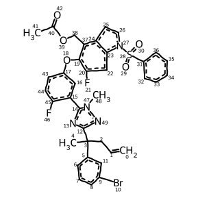 C=CCC(C)(c1cccc(Br)c1)c1nc(-c2cc(Oc3c(F)cc4c(ccn4S(=O)(=O)c4ccccc4)c3COC(C)=O)ccc2F)n(C)n1